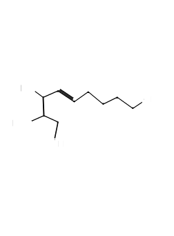 CCCCC/C=C/C(C)C(C)CC